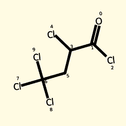 O=C(Cl)C(Cl)CC(Cl)(Cl)Cl